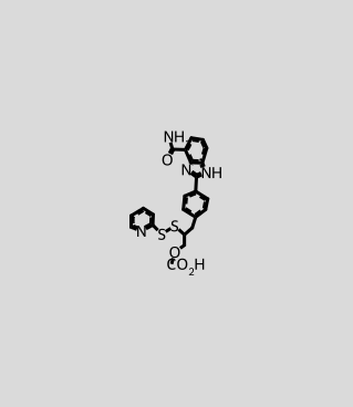 NC(=O)c1cccc2[nH]c(-c3ccc(CC(COC(=O)O)SSc4ccccn4)cc3)nc12